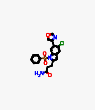 NC(=O)CCc1cc2cc(Cl)c(-c3cocn3)cc2n1S(=O)(=O)c1ccccc1